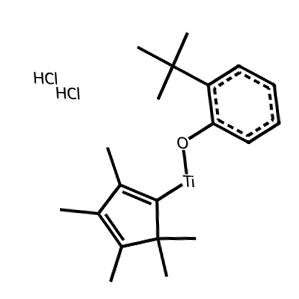 CC1=C(C)C(C)(C)[C]([Ti][O]c2ccccc2C(C)(C)C)=C1C.Cl.Cl